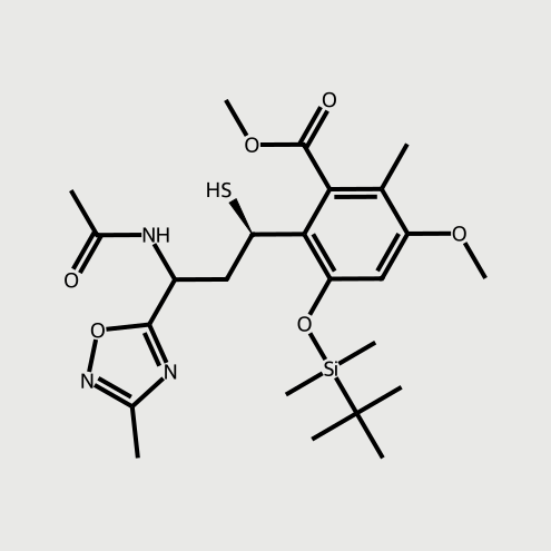 COC(=O)c1c(C)c(OC)cc(O[Si](C)(C)C(C)(C)C)c1[C@H](S)CC(NC(C)=O)c1nc(C)no1